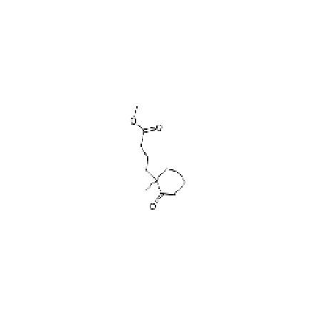 COC(=O)CCCC1(C)CCCCC1=O